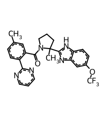 Cc1ccc(-c2ncccn2)c(C(=O)N2CCCC2(C)c2nc3cc(OC(F)(F)F)ccc3[nH]2)c1